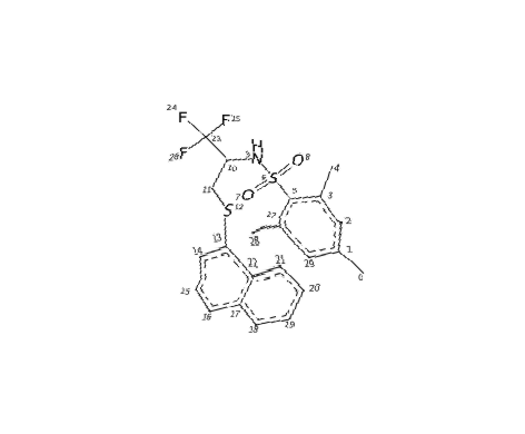 Cc1cc(C)c(S(=O)(=O)NC(CSc2cccc3ccccc23)C(F)(F)F)c(C)c1